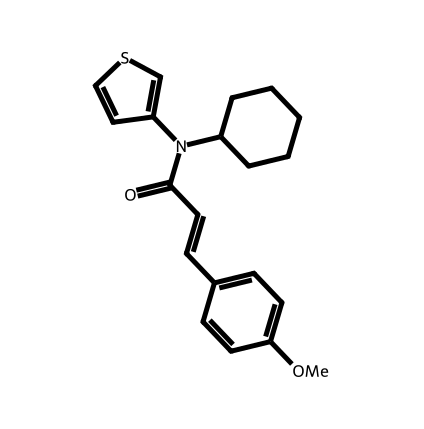 COc1ccc(C=CC(=O)N(c2ccsc2)C2CCCCC2)cc1